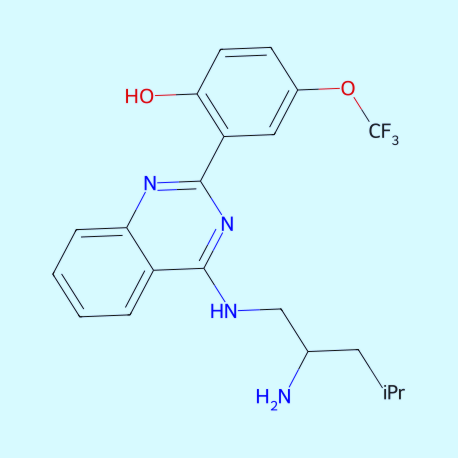 CC(C)CC(N)CNc1nc(-c2cc(OC(F)(F)F)ccc2O)nc2ccccc12